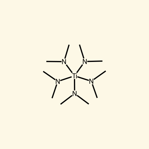 C[N](C)[Ti]([N](C)C)([N](C)C)([N](C)C)[N](C)C